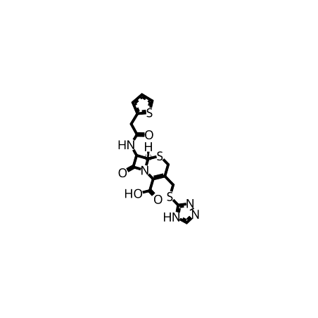 O=C(Cc1cccs1)NC1C(=O)N2C(C(=O)O)=C(CSc3nnc[nH]3)CS[C@@H]12